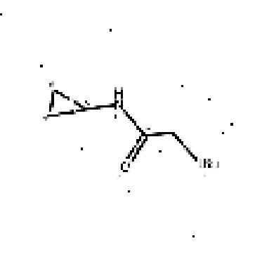 [CH2]C(C)(C)CC(=O)NC1CC1